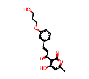 Cc1cc(O)c(C(=O)/C=C/c2cccc(OCCCO)c2)c(=O)o1